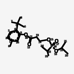 Cc1ccc(C(C)(C)C)c(OC(=O)CCOP(=O)(OC(C)C)C(C)C)c1